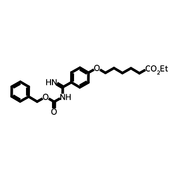 CCOC(=O)CCCCCOc1ccc(C(=N)NC(=O)OCc2ccccc2)cc1